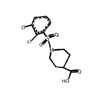 O=C(O)C1CCN(S(=O)(=O)c2cccc(Cl)c2Cl)CC1